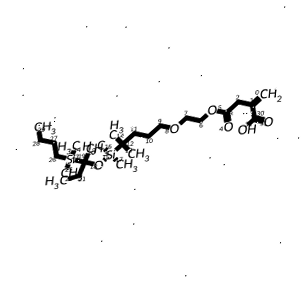 C=C(CC(=O)OCCOCCCC(C)(C)[Si](C)(C)OC(C)(CC)[Si](C)(C)CCCC)C(=O)O